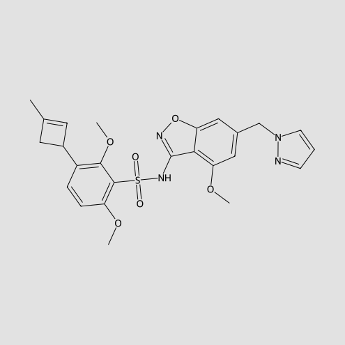 COc1ccc(C2C=C(C)C2)c(OC)c1S(=O)(=O)Nc1noc2cc(Cn3cccn3)cc(OC)c12